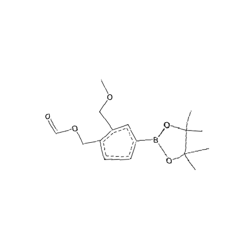 COCc1cc(B2OC(C)(C)C(C)(C)O2)ccc1COC=O